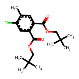 Cc1cc(C(=O)OCC(C)(C)C)c(C(=O)OCC(C)(C)C)cc1Cl